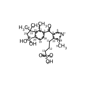 Cc1c(C(=O)c2cnn(C)c2CCCS(=O)(=O)O)ccc2c1C(C)(C)CS2(O)O